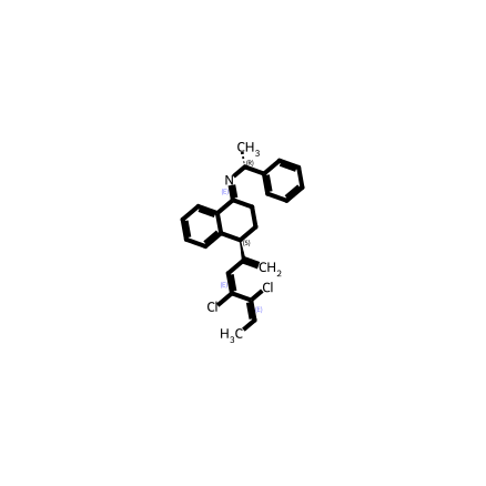 C=C(/C=C(Cl)\C(Cl)=C/C)[C@@H]1CC/C(=N\[C@H](C)c2ccccc2)c2ccccc21